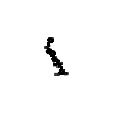 N#C/C(=C\c1ccc(-c2ccc3cc(NCCN4CCOCC4)ccc3c2)s1)C(=O)NCC1CC(O)CC(O)O1